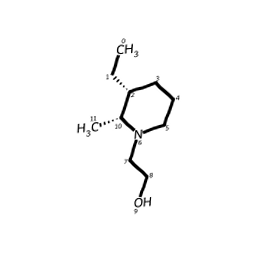 CC[C@@H]1CCCN(CCO)[C@@H]1C